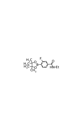 CCNC(=O)c1ccc(B2OC(C)(C)C(C)(C)O2)c(F)c1